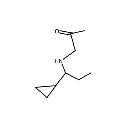 CCC(NCC(C)=O)C1CC1